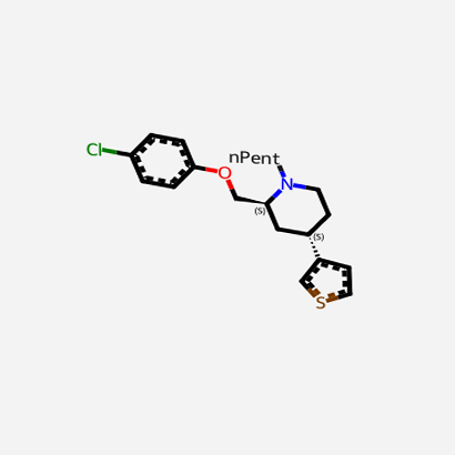 CCCCCN1CC[C@H](c2ccsc2)C[C@H]1COc1ccc(Cl)cc1